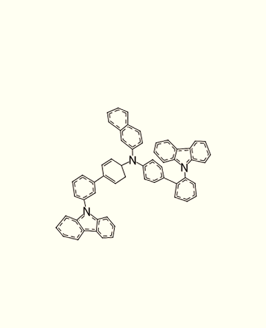 C1=CC(N(c2ccc(-c3ccccc3-n3c4ccccc4c4ccccc43)cc2)c2ccc3ccccc3c2)CC=C1c1cccc(-n2c3ccccc3c3ccccc32)c1